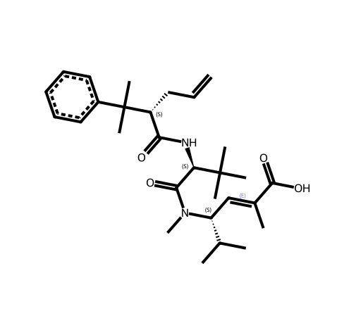 C=CC[C@H](C(=O)N[C@H](C(=O)N(C)[C@H](/C=C(\C)C(=O)O)C(C)C)C(C)(C)C)C(C)(C)c1ccccc1